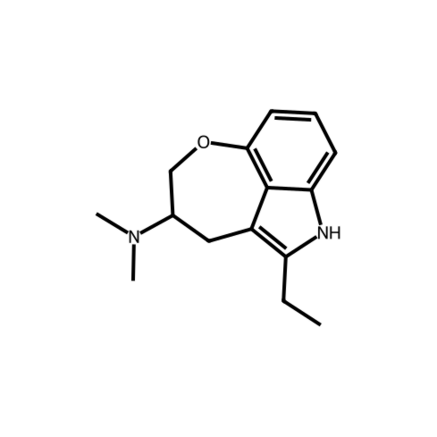 CCc1[nH]c2cccc3c2c1CC(N(C)C)CO3